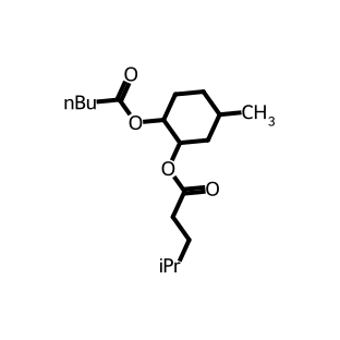 CCCCC(=O)OC1CCC(C)CC1OC(=O)CCC(C)C